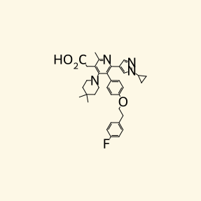 Cc1nc(-c2cnn(C3CC3)c2)c(-c2ccc(OCCc3ccc(F)cc3)cc2)c(N2CCC(C)(C)CC2)c1CC(=O)O